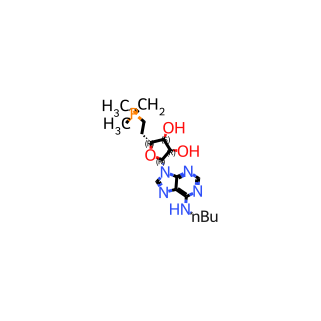 C=P(C)(C)CC[C@H]1O[C@@H](n2cnc3c(NCCCC)ncnc32)[C@H](O)[C@@H]1O